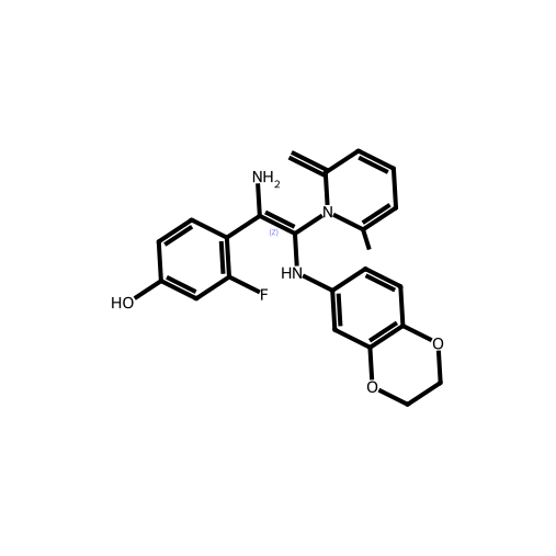 C=C1C=CC=C(C)N1/C(Nc1ccc2c(c1)OCCO2)=C(\N)c1ccc(O)cc1F